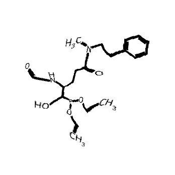 CCOP(OCC)C(O)[C@H](CCC(=O)N(C)CCc1ccccc1)NC=O